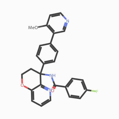 COc1ccncc1-c1ccc(C2(NC(=O)c3ccc(F)cc3)CCOc3cccnc32)cc1